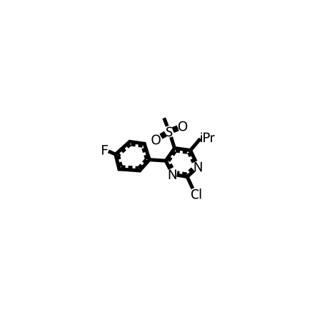 CC(C)c1nc(Cl)nc(-c2ccc(F)cc2)c1S(C)(=O)=O